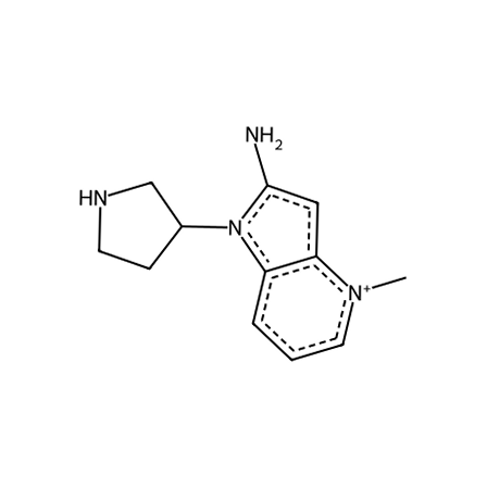 C[n+]1cccc2c1cc(N)n2C1CCNC1